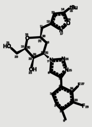 Cc1ccc(-c2cn([C@H]3[CH][C@H](Cc4cc(C(C)(C)C)on4)O[C@H](CO)[C@@H]3O)nn2)c(F)c1F